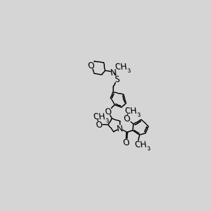 COc1cccc(C)c1C(=O)N1CC(OC)C(Oc2cccc(CSN(C)C3CCOCC3)c2)C1